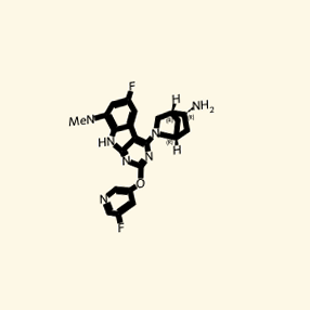 CNc1cc(F)cc2c1[nH]c1nc(Oc3cncc(F)c3)nc(N3C[C@H]4C[C@@H]3C[C@H]4N)c12